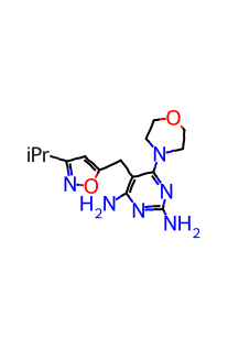 CC(C)c1cc(Cc2c(N)nc(N)nc2N2CCOCC2)on1